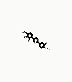 CCCc1ccc(-c2cnc(-c3ccc(C)c(F)c3)nc2)c(F)c1F